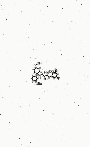 CC(C)(C)c1cccc(C2(NCC(O)C(Cc3cc(F)cc(F)c3)NC(=O)O)CCC(CO)CC2)c1